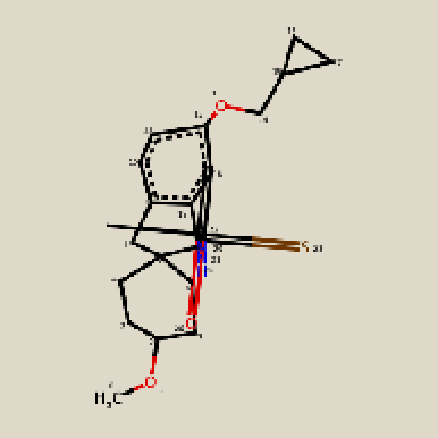 COC1CCC2(CC1)Cc1ccc(OCC3CC3)cc1C21NC(=S)NC1=O